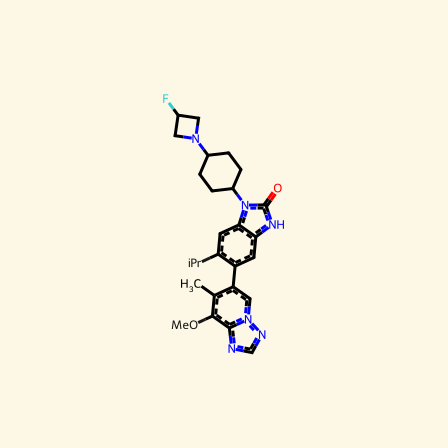 COc1c(C)c(-c2cc3[nH]c(=O)n(C4CCC(N5CC(F)C5)CC4)c3cc2C(C)C)cn2ncnc12